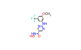 COc1cc(Nc2ncc(C(=O)NO)cn2)cc(C(F)(F)F)c1